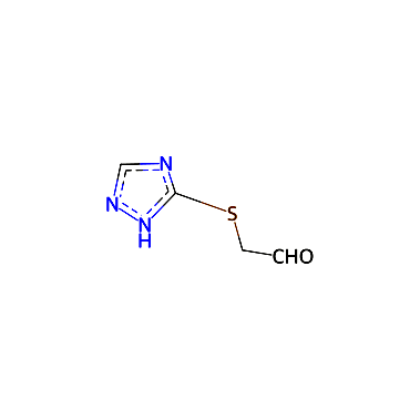 O=CCSc1ncn[nH]1